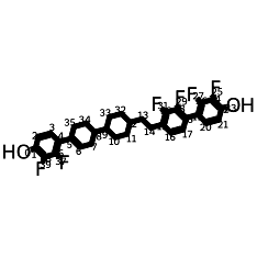 Oc1ccc(C2=CCC(C3CCC(CCc4ccc(-c5ccc(O)c(F)c5F)c(F)c4F)CC3)CC2)c(F)c1F